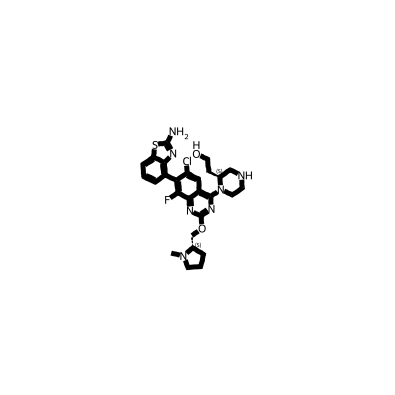 CN1CCC[C@H]1COc1nc(N2CCNC[C@@H]2CCO)c2cc(Cl)c(-c3cccc4sc(N)nc34)c(F)c2n1